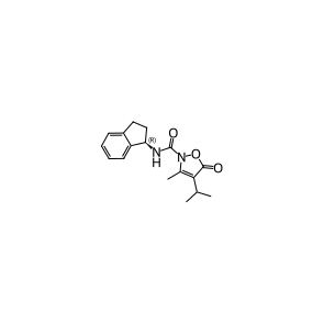 Cc1c(C(C)C)c(=O)on1C(=O)N[C@@H]1CCc2ccccc21